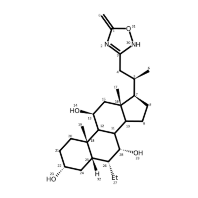 C=C1N=C(C[C@@H](C)[C@H]2CCC3C4C([C@@H](O)C[C@@]32C)[C@@]2(C)CC[C@@H](O)C[C@H]2[C@@H](CC)[C@H]4O)NO1